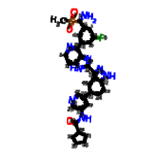 CS(=O)(=O)C(N)c1cc(F)cc(-c2nccc3[nH]c(-c4n[nH]c5ccc(-c6cncc(NC(=O)C7CCCC7)c6)cc45)nc23)c1